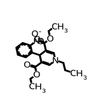 CCCN1C=C(C(=O)OCC)C(c2ccccc2[N+](=O)[O-])C(C(=O)OCC)=C1